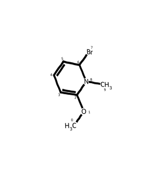 COC1=CC=CC(Br)N1C